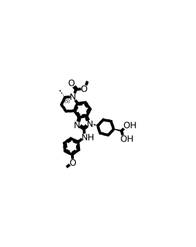 COC(=O)N1c2ccc3c(nc(Nc4cccc(OC)c4)n3[C@H]3CC[C@H](C(O)O)CC3)c2CC[C@@H]1C